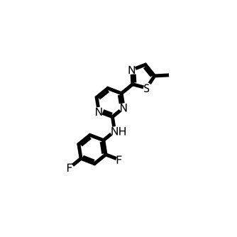 Cc1cnc(-c2ccnc(Nc3ccc(F)cc3F)n2)s1